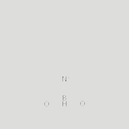 c1ccc([N+]23CCO[BH-]2OCC3)cc1